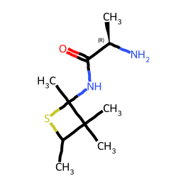 CC1SC(C)(NC(=O)[C@@H](C)N)C1(C)C